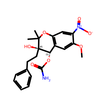 COc1cc2c(cc1[N+](=O)[O-])OC(C)(C)[C@@](O)(CCc1ccccc1)[C@H]2OC(N)=O